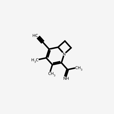 C#CC1=C(C)C(C)=C(C(C)=N)N2CCC12